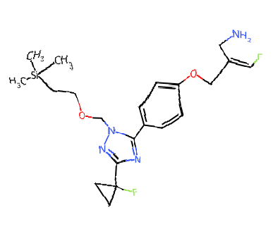 C[Si](C)(C)CCOCn1nc(C2(F)CC2)nc1-c1ccc(OC/C(=C/F)CN)cc1